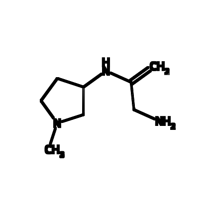 C=C(CN)NC1CCN(C)C1